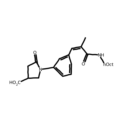 CCCCCCCCNC(=O)C(C)=Cc1cccc(N2CC(C(=O)O)CC2=O)c1